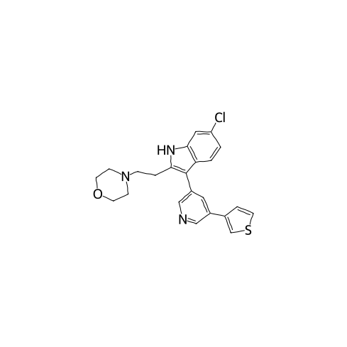 Clc1ccc2c(-c3cncc(-c4ccsc4)c3)c(CCN3CCOCC3)[nH]c2c1